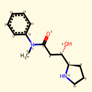 CN(C(=O)C[C@H](O)[C@H]1CCCN1)c1ccccc1